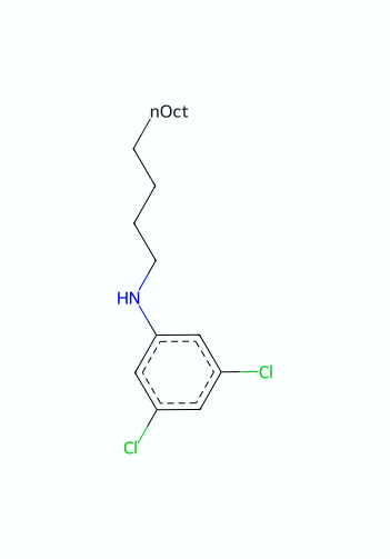 CCCCCCCCCCCCNc1cc(Cl)cc(Cl)c1